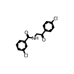 O=C(CNC(=O)c1cccc(Cl)c1)c1ccc(Cl)cc1